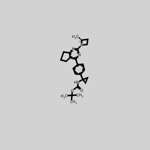 C[C@H]1CCN1c1nc2c(c(-c3ccc(C4(NC(=O)OC(C)(C)C)CC4)cc3)n1)CCC2